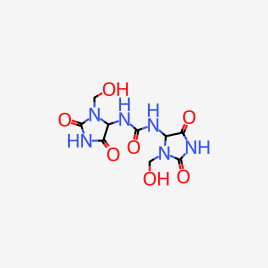 O=C(NC1C(=O)NC(=O)N1CO)NC1C(=O)NC(=O)N1CO